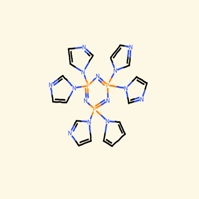 c1ccn(P2(n3ccnc3)=NP(n3ccnc3)(n3ccnc3)=NP(n3ccnc3)(n3ccnc3)=N2)c1